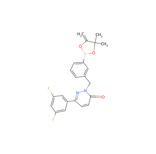 C=C1OB(c2cccc(Cn3nc(-c4cc(F)cc(F)c4)ccc3=O)c2)OC1(C)C